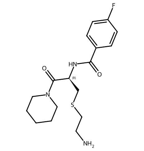 NCCSC[C@H](NC(=O)c1ccc(F)cc1)C(=O)N1CCCCC1